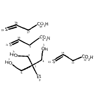 CCC(CO)(CO)CO.O=C(O)CC=S.O=C(O)CC=S.O=C(O)CC=S